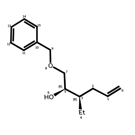 C=CC[C@@H](CC)[C@@H](O)COCc1ccccc1